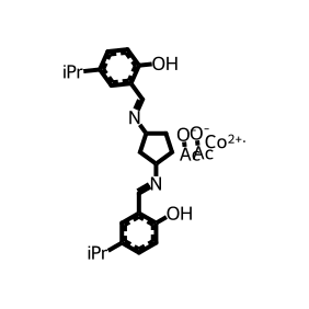 CC(=O)[O-].CC(=O)[O-].CC(C)c1ccc(O)c(C=NC2CCC(N=Cc3cc(C(C)C)ccc3O)C2)c1.[Co+2]